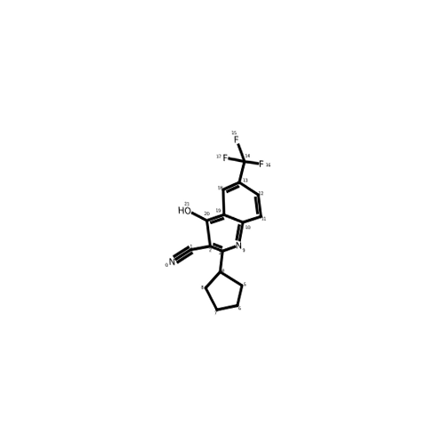 N#Cc1c(C2CCCC2)nc2ccc(C(F)(F)F)cc2c1O